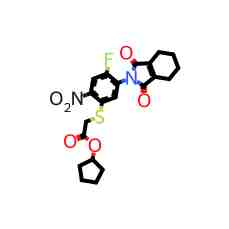 O=C(CSc1cc(N2C(=O)C3=C(CCCC3)C2=O)c(F)cc1[N+](=O)[O-])OC1CCCC1